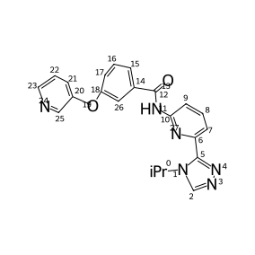 CC(C)n1cnnc1-c1cccc(NC(=O)c2cccc(Oc3cccnc3)c2)n1